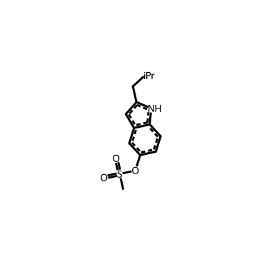 CC(C)Cc1cc2cc(OS(C)(=O)=O)ccc2[nH]1